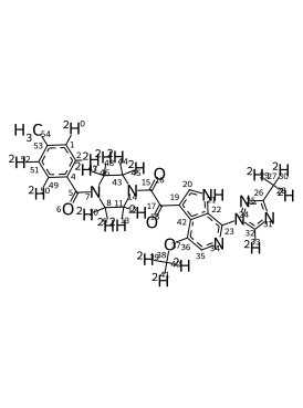 [2H]c1c([2H])c(C(=O)N2C([2H])([2H])C([2H])([2H])N(C(=O)C(=O)c3c[nH]c4c(-n5nc(C([2H])([2H])[2H])nc5[2H])ncc(OC([2H])([2H])[2H])c34)C([2H])([2H])C2([2H])[2H])c([2H])c([2H])c1C